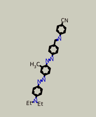 CCN(CC)c1ccc(N=Nc2ccc(N=Nc3ccc(C=Nc4ccc(C#N)cc4)cc3)c(C)c2)cc1